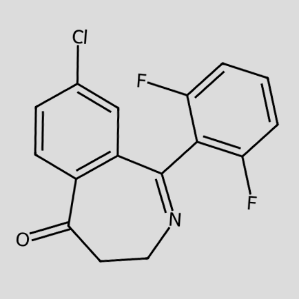 O=C1CCN=C(c2c(F)cccc2F)c2cc(Cl)ccc21